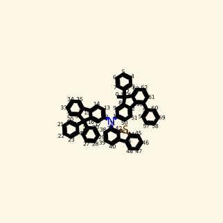 CC1(c2ccccc2)c2cc(N(c3ccc4c(c3)C(c3ccccc3)(c3ccccc3)c3ccccc3-4)c3cccc4c3sc3ccccc34)ccc2-c2c(-c3ccccc3)cccc21